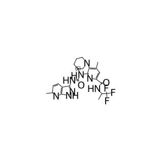 Cc1ccc2c(NC(=O)N3c4nc(C(=O)NC(C)C(F)(F)F)cc(C)c4N4CCC[C@H]3C4)n[nH]c2n1